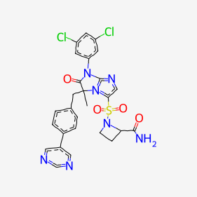 CC1(Cc2ccc(-c3cncnc3)cc2)C(=O)N(c2cc(Cl)cc(Cl)c2)c2ncc(S(=O)(=O)N3CCC3C(N)=O)n21